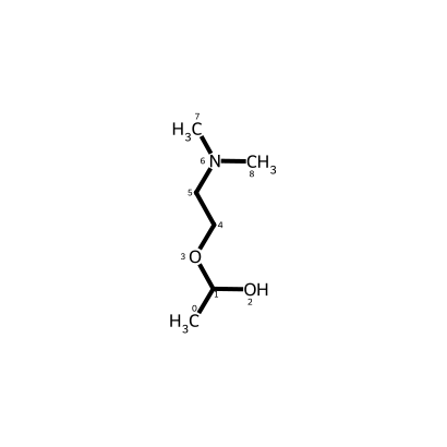 CC(O)OCCN(C)C